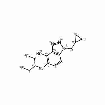 FCC(CF)Oc1ccc2c(nnn2CC2CC2)c1Br